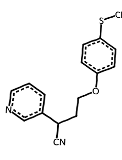 N#CC(CCOc1ccc(SCl)cc1)c1cccnc1